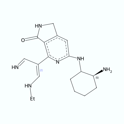 CCN/C=C(\C=N)c1nc(NC2CCCC[C@@H]2N)cc2c1C(=O)NC2